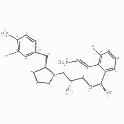 CCC[C@@H](OC[C@H](O)CN1CCC[C@H]1Cc1ccc(C)c(F)c1)c1cccc(F)c1/C=C/C(=O)OCC